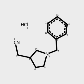 Cl.N#CCC1CCN(Cc2ccccc2)C1